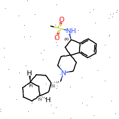 CS(=O)(=O)N[C@@H]1CC2(CCN(C[C@H]3CC[C@H]4CCC[C@@H](C4)C3)CC2)c2ccccc21